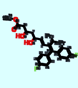 CC(C)C(C(/C=C/C(O)CC(O)CC(=O)OC(C)(C)C)=C(c1ccc(F)cc1)c1ccc(F)cc1)C(C)C